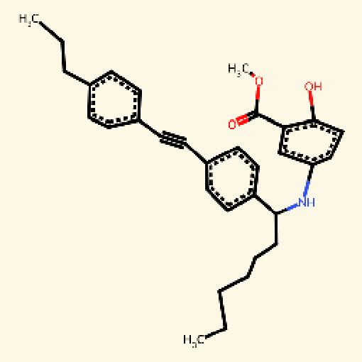 CCCCCCC(Nc1ccc(O)c(C(=O)OC)c1)c1ccc(C#Cc2ccc(CCC)cc2)cc1